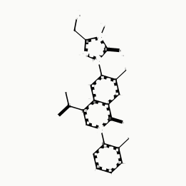 C=C(C)c1cn(-c2ccccc2C)c(=O)c2cc(C)c(-n3nc(CO)n(CC)c3=O)cc12